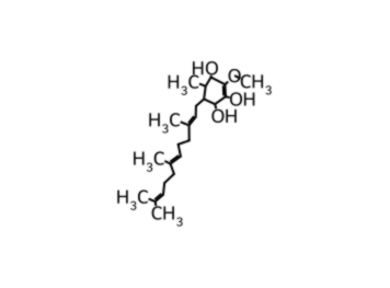 COC1=C(O)C(O)C(C/C=C(\C)CC/C=C(\C)CCC=C(C)C)C(C)C1O